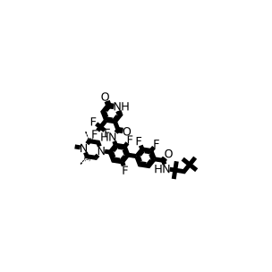 C[C@@H]1CN(c2cc(F)c(-c3ccc(C(=O)NC(C)(C)CC(C)(C)C)c(F)c3F)c(F)c2NC(=O)c2c[nH]c(=O)cc2C(F)(F)F)C[C@H](C)N1C